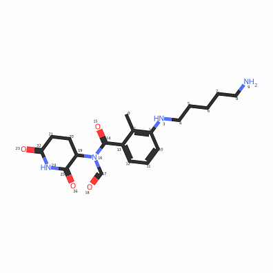 Cc1c(NCCCCCN)cccc1C(=O)N(C=O)C1CCC(=O)NC1=O